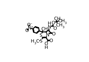 CSC1=C(C(=O)O)N2C(=O)C(NC(=O)OC(C)(C)C)C2C(C)(c2ccc([N+](=O)[O-])cc2)S1